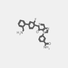 NCc1ccccc1-c1ccc(C2N=Cc3ncn(-c4cccc(C(N)=O)c4)c3C2=O)c(F)c1